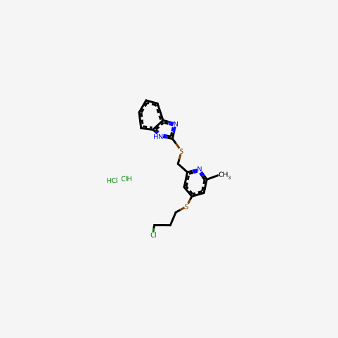 Cc1cc(SCCCCl)cc(CSc2nc3ccccc3[nH]2)n1.Cl.Cl